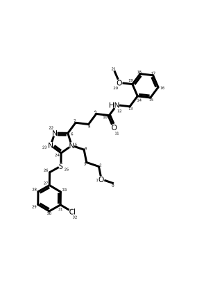 COCCCn1c(CCCC(=O)NCc2ccccc2OC)nnc1SCc1cccc(Cl)c1